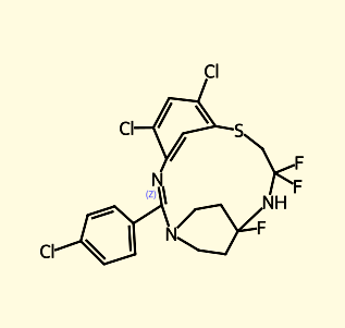 FC1(F)CSc2cc(c(Cl)cc2Cl)/N=C(/c2ccc(Cl)cc2)N2CCC(F)(CC2)N1